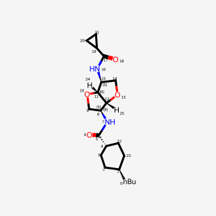 CCCC[C@H]1CC[C@H](C(=O)N[C@H]2CO[C@H]3[C@@H]2OC[C@@H]3NC(=O)C2CC2)CC1